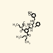 CCCN(CCC)C(=O)c1cc(C(=O)N[C@@H](Cc2ccccc2)[C@H](O)CNCc2cccc(OC)c2)cc(C(=O)N(CCC)CCC)c1